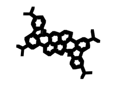 CC(C)c1ccc2c(c1)-c1cc(C(C)C)cc3c1B2c1cc2ccc4c5c(cc6ccc-3c1c6c25)B1c2ccc(C(C)C)cc2-c2cc(C(C)C)cc-4c21